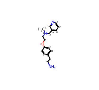 CN(CCOc1ccc(CCN)cc1)Cc1cccnc1